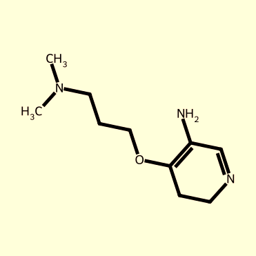 CN(C)CCCOC1=C(N)C=NCC1